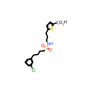 O=C(O)c1ccc(CCCNS(=O)(=O)CCCCc2cccc(Cl)c2)s1